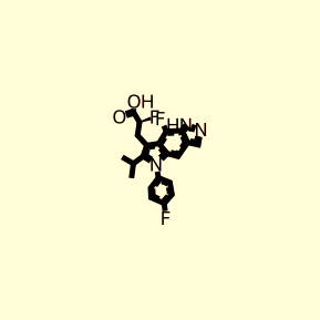 CC(C)c1c(C[C@H](F)C(=O)O)c2c(F)c3[nH]ncc3cc2n1-c1ccc(F)cc1